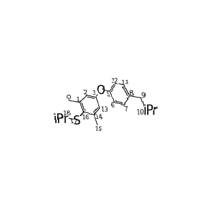 Cc1cc(Oc2ccc(CC(C)C)cc2)cc(C)c1SC(C)C